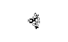 CON(C)C(=O)c1sc2cnccc2c1NC(=O)OC(C)(C)C